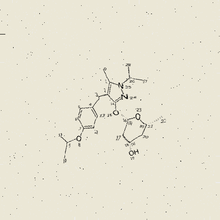 Cc1c(Cc2ccc(OC(C)C)cc2)c(O[C@H]2C[C@@H](O)C[C@@H](C)O2)nn1C(C)C